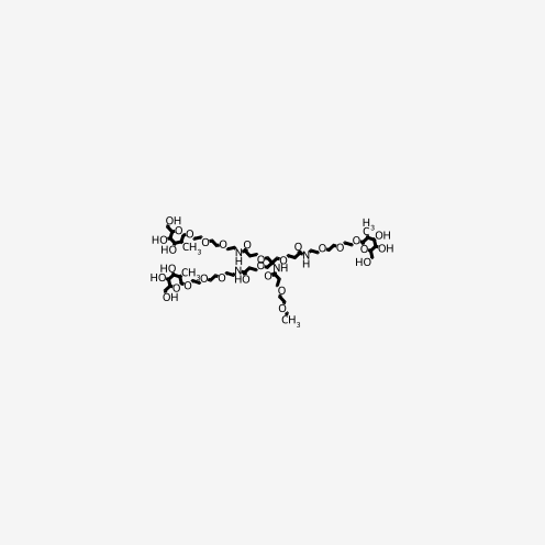 CCOCCOCCC(=O)NC(COCCC(=O)NCCOCCOCCOC1OC(CO)C(O)C(O)C1C)(COCCC(=O)NCCOCCOCCOC1OC(CO)C(O)C(O)C1C)COCCC(=O)NCCOCCOCCOC1OC(CO)C(O)C(O)C1C